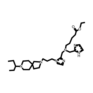 CCOC(=O)CCCCN(Cc1ncc[nH]1)Cc1nccn1CCCN1CCC2(CCN(C(CC)CC)CC2)C1